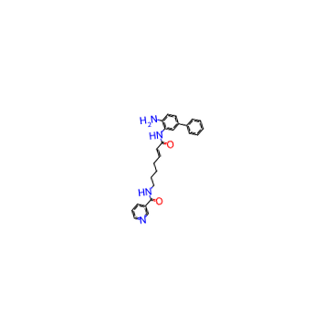 Nc1ccc(-c2ccccc2)cc1NC(=O)/C=C/CCCCNC(=O)c1cccnc1